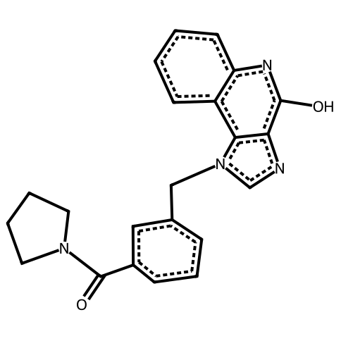 O=C(c1cccc(Cn2cnc3c(O)nc4ccccc4c32)c1)N1CCCC1